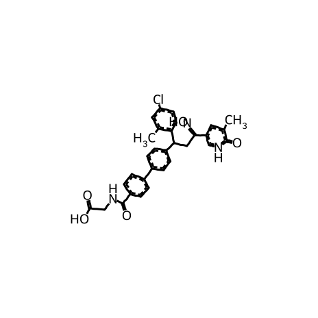 Cc1cc(Cl)ccc1C(C/C(=N\O)c1c[nH]c(=O)c(C)c1)c1ccc(-c2ccc(C(=O)NCC(=O)O)cc2)cc1